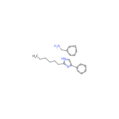 CCCCCCc1nc(-c2ccccc2)c[nH]1.NCc1ccccc1